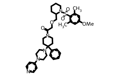 COc1cc(C)c(S(=O)(=O)N2CCCCC2COCC(=O)N2CCC(c3ccccc3)(N3CCN(c4ccncc4)CC3)CC2)c(C)c1